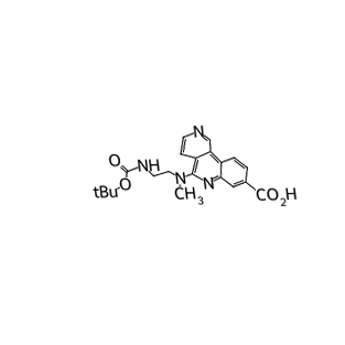 CN(CCNC(=O)OC(C)(C)C)c1nc2cc(C(=O)O)ccc2c2cnccc12